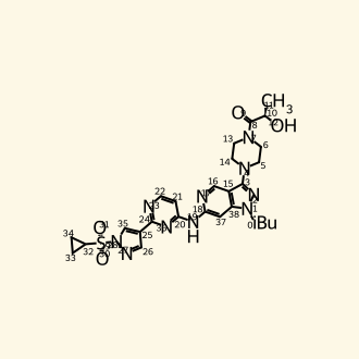 CCC(C)n1nc(N2CCN(C(=O)[C@@H](C)O)CC2)c2cnc(Nc3ccnc(-c4cnn(S(=O)(=O)C5CC5)c4)n3)cc21